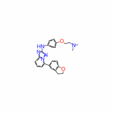 CN(C)CCOc1ccc(Nc2nc3cccc(-c4ccc5c(c4)CCO5)n3n2)cc1